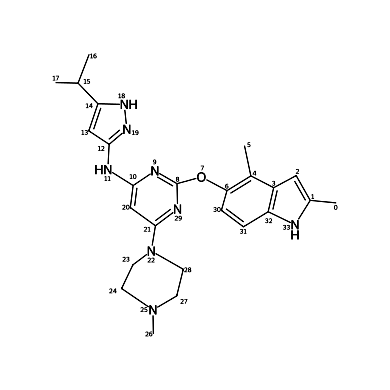 Cc1cc2c(C)c(Oc3nc(Nc4cc(C(C)C)[nH]n4)cc(N4CCN(C)CC4)n3)ccc2[nH]1